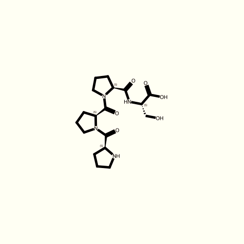 O=C(O)[C@H](CO)NC(=O)[C@@H]1CCCN1C(=O)[C@@H]1CCCN1C(=O)[C@@H]1CCCN1